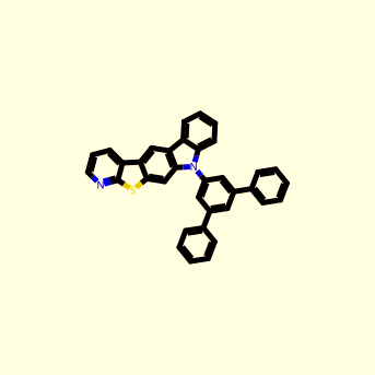 c1ccc(-c2cc(-c3ccccc3)cc(-n3c4ccccc4c4cc5c(cc43)sc3ncccc35)c2)cc1